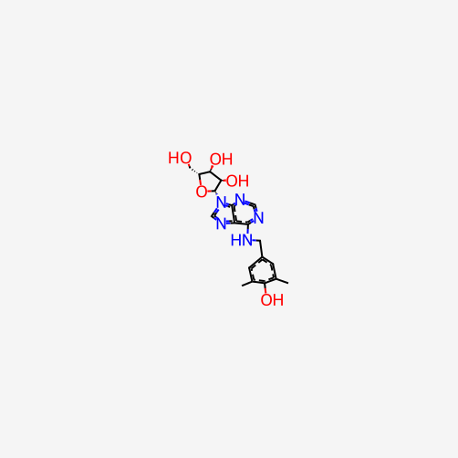 Cc1cc(CNc2ncnc3c2ncn3[C@@H]2O[C@H](CO)[C@@H](O)[C@H]2O)cc(C)c1O